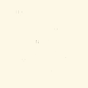 C=CCN1C(=O)C2C3C=CC(C3)C2C1=O